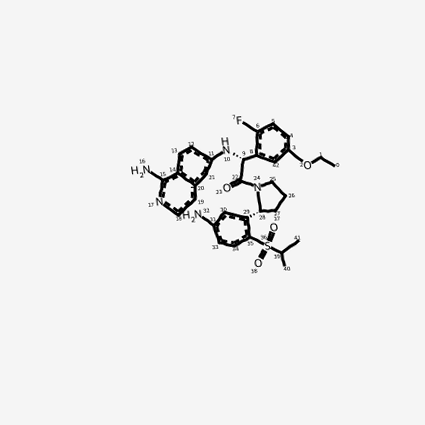 CCOc1ccc(F)c([C@@H](Nc2ccc3c(N)nccc3c2)C(=O)N2CCC[C@@H]2c2cc(N)ccc2S(=O)(=O)C(C)C)c1